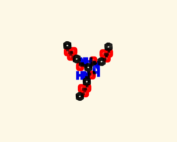 O=C(Oc1ccccc1)Oc1ccc(NC(=O)c2cc(C(=O)Nc3ccc(OC(=O)Oc4ccccc4)cc3)cc(C(=O)Nc3ccc(OC(=O)Oc4ccccc4)cc3)c2)cc1